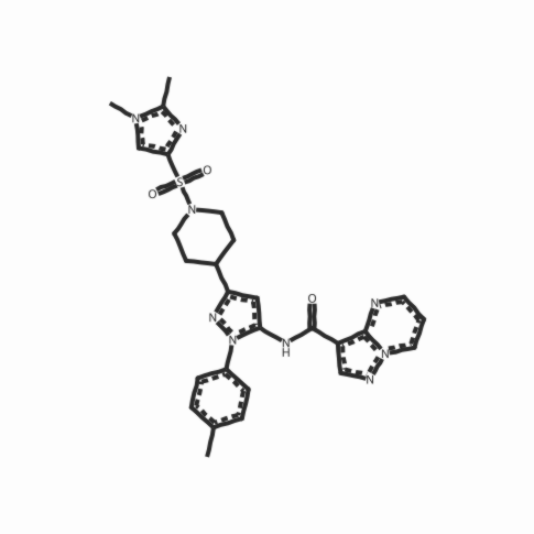 Cc1ccc(-n2nc(C3CCN(S(=O)(=O)c4cn(C)c(C)n4)CC3)cc2NC(=O)c2cnn3cccnc23)cc1